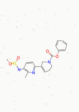 CO[SH](=O)=Nc1ccc(C2=CCCN(C(=O)Oc3ccccc3)C2)nc1C